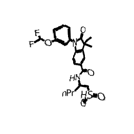 CCCC(C[SH](=O)=O)NC(=O)c1ccc2c(c1)C(C)(C)C(=O)N2c1cccc(OC(F)F)c1